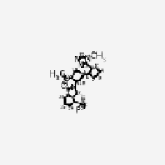 COc1ccc(-c2ccccc2-c2nncn2C)cc1N1Cc2c(cccc2C(F)(F)F)C1=O